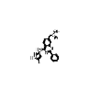 Cc1cc(Nc2nc(-c3ccccc3)nc3cc(CS(=O)O)ccc23)n[nH]1